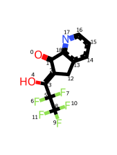 O=C1/C(=C(\O)C(F)(F)C(F)(F)F)Cc2cccnc21